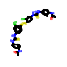 CC(=O)Nc1ccc(NC(=S)Nc2ccc(SSc3ccc(NC(=S)Nc4ccc(NC(C)=O)cc4)cc3Cl)c(Cl)c2)cc1